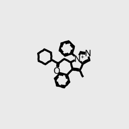 CC1=C(c2ccccc2)C(CC(=O)C2CCCCC2)[N+]2(c3ccccc3)C=NC=C12